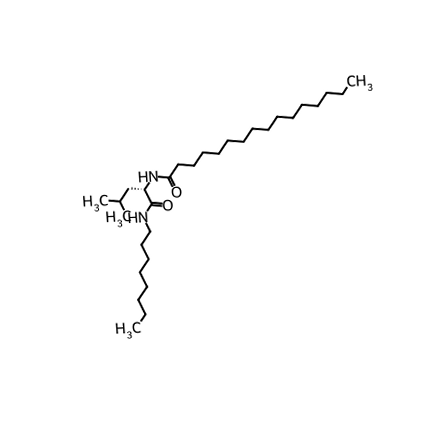 CCCCCCCCCCCCCCCC(=O)N[C@@H](CC(C)C)C(=O)NCCCCCCCC